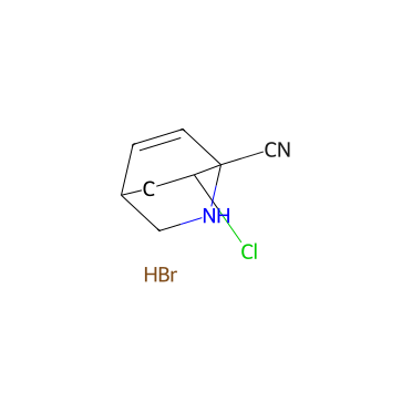 Br.N#CC12C=CC(CN1)CC2Cl